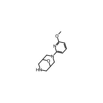 COc1cccc(N2CC3CNCC(C2)O3)n1